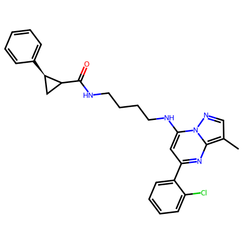 Cc1cnn2c(NCCCCNC(=O)C3C[C@H]3c3ccccc3)cc(-c3ccccc3Cl)nc12